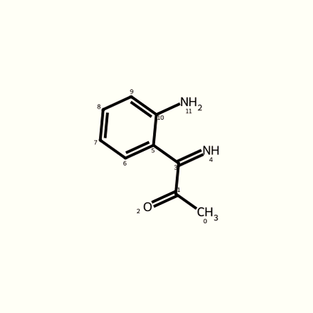 CC(=O)C(=N)c1ccccc1N